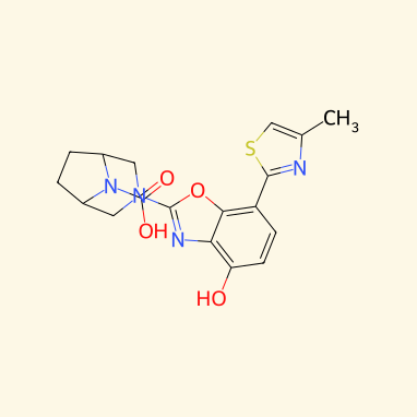 Cc1csc(-c2ccc(O)c3nc(N4CC5CCC(C4)N5C(=O)O)oc23)n1